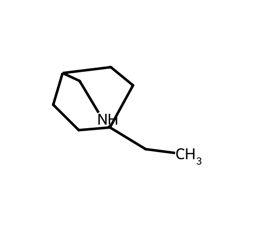 CCC12CCC(CC1)CN2